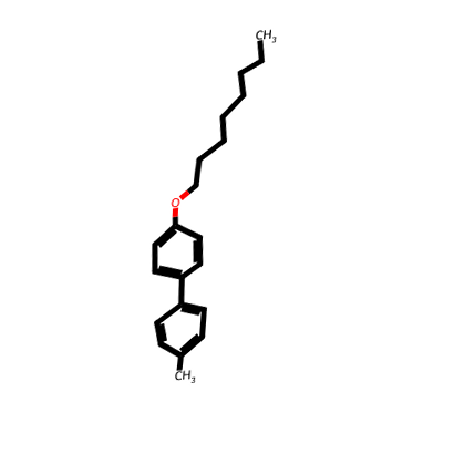 CCCCCCCCOc1ccc(-c2ccc(C)cc2)cc1